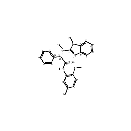 COc1ccc(C)cc1NC(=O)[C@H](c1ccccc1)N(C)c1nc2ccccc2n1C